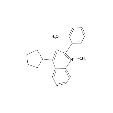 Cc1ccccc1-c1cc(C2CCCC2)c2ccccc2[n+]1C